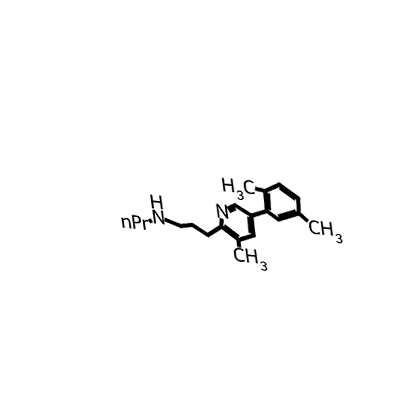 CCCNCCCc1ncc(-c2cc(C)ccc2C)cc1C